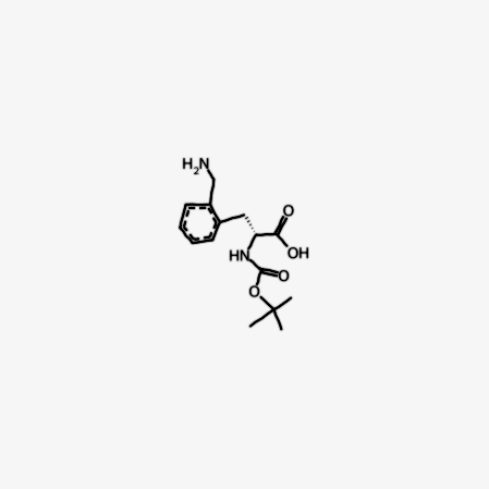 CC(C)(C)OC(=O)N[C@H](Cc1ccccc1CN)C(=O)O